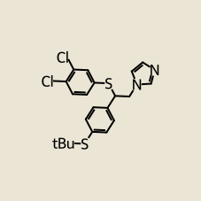 CC(C)(C)Sc1ccc(C(Cn2ccnc2)Sc2ccc(Cl)c(Cl)c2)cc1